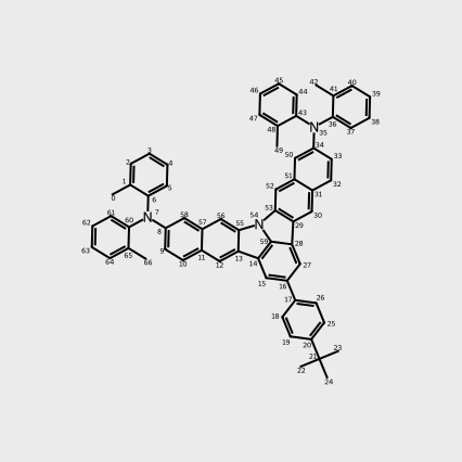 Cc1ccccc1N(c1ccc2cc3c4cc(-c5ccc(C(C)(C)C)cc5)cc5c6cc7ccc(N(c8ccccc8C)c8ccccc8C)cc7cc6n(c3cc2c1)c45)c1ccccc1C